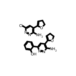 Nc1nnc(-c2ccccc2O)cc1C1=CCCO1.Nc1nnc(Cl)cc1C1=CCCO1